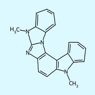 Cn1c2ccccc2c2c1ccc1nc3n(C)c4ccccc4n3c12